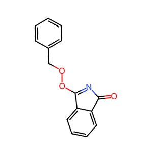 O=C1N=C(OOCc2ccccc2)c2ccccc21